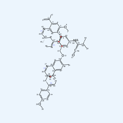 C=C(C)c1cc(OC)c(OCCCOc2cc(/N=C\[C@@H](C)C/C(=C\C)c3ccc(OC)cc3)c(C(C)=O)cc2C)cc1/N=C\[C@@H](C)C/C(=C\C)c1ccc(NC(=C=O)C(C)C)cc1